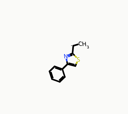 C[CH]c1nc(-c2ccccc2)cs1